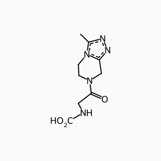 Cc1nnc2n1CCN(C(=O)CNC(=O)O)C2